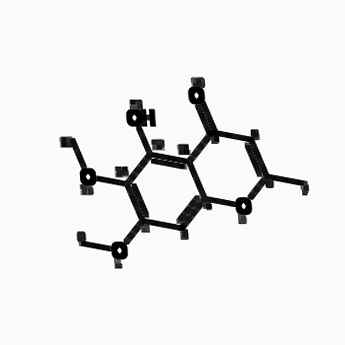 COc1cc2oc(C)cc(=O)c2c(O)c1OC